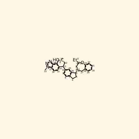 CC[C@@H]1CN(C2CCc3ccc(C(CC(=O)O)c4ccc5c(nnn5C)c4C)cc32)Cc2ccccc2O1